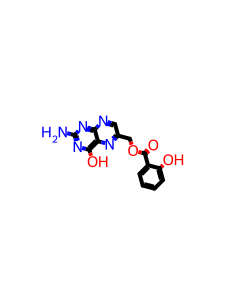 Nc1nc(O)c2nc(COC(=O)c3ccccc3O)cnc2n1